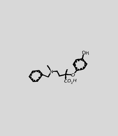 CN(CCC(C)(Oc1ccc(O)cc1)C(=O)O)Cc1ccccc1